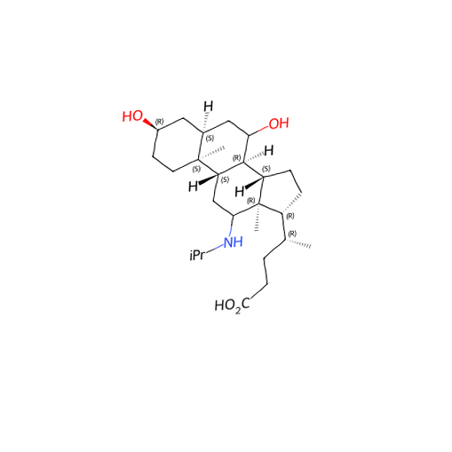 CC(C)NC1C[C@H]2[C@@H](C(O)C[C@@H]3C[C@H](O)CC[C@@]32C)[C@@H]2CC[C@H]([C@H](C)CCC(=O)O)[C@@]12C